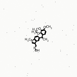 C=C(c1ccc2c(c1)c(C=NO)cn2C)c1ccc(OC)c(OC)c1OC